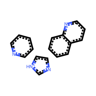 c1c[nH]cn1.c1ccc2ncccc2c1.c1ccncc1